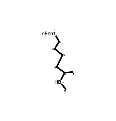 CBC(C)CCCCCCCCC